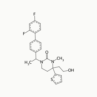 CC(c1ccc(-c2ccc(F)cc2F)cc1)N1CCC(CCO)(c2cccs2)N(C)C1=O